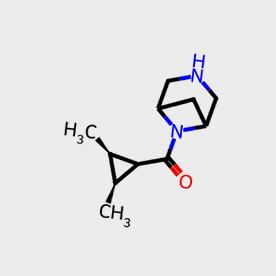 C[C@@H]1C(C(=O)N2C3CNCC2C3)[C@@H]1C